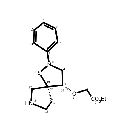 CCOC(=O)CO[C@H]1CN(c2ccccc2)S[C@@]12CCNC2